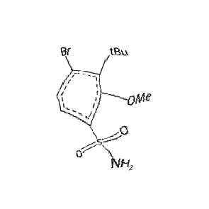 COc1c(S(N)(=O)=O)ccc(Br)c1C(C)(C)C